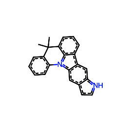 CC1(C)c2ccccc2-n2c3cc4cc[nH]c4cc3c3cccc1c32